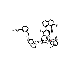 C#Cc1c(F)ccc2cccc(-c3ncc4c(N5C[C@H]6CC[C@@H](C5)N6C(=O)OC(C)(C)C)nc(OC[C@@]56CCCN5C[C@H](OCc5cccc(S(=O)(=O)O)c5)C6)nc4c3F)c12